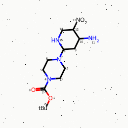 CC(C)(C)OC(=O)N1CCN(C2CC(N)C([N+](=O)[O-])CN2)CC1